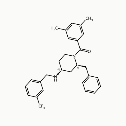 Cc1cc(C)cc(C(=O)N2CC[C@H](NCc3cccc(C(F)(F)F)c3)C[C@@H]2Cc2ccccc2)c1